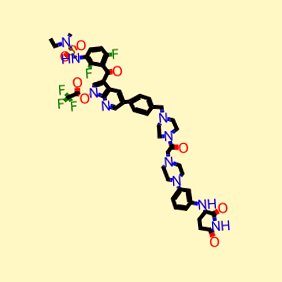 CCN(C)S(=O)(=O)Nc1ccc(F)c(C(=O)c2cn(OC(=O)C(F)(F)F)c3ncc(-c4ccc(CN5CCN(C(=O)CN6CCN(c7cccc(NC8CCC(=O)NC8=O)c7)CC6)CC5)cc4)cc23)c1F